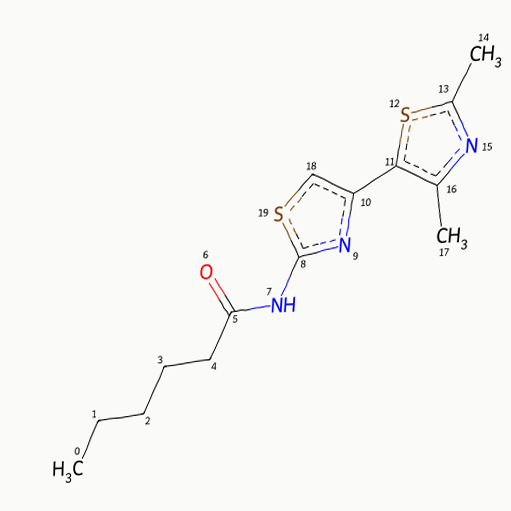 CCCCCC(=O)Nc1nc(-c2sc(C)nc2C)cs1